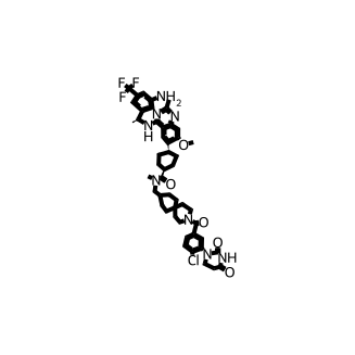 COc1cc2nc(C)nc(N[C@H](C)c3cc(N)cc(C(F)(F)F)c3)c2cc1[C@H]1CC[C@H](C(=O)N(C)CC2CCC3(CC2)CCN(C(=O)c2ccc(Cl)c(N4CCC(=O)NC4=O)c2)CC3)CC1